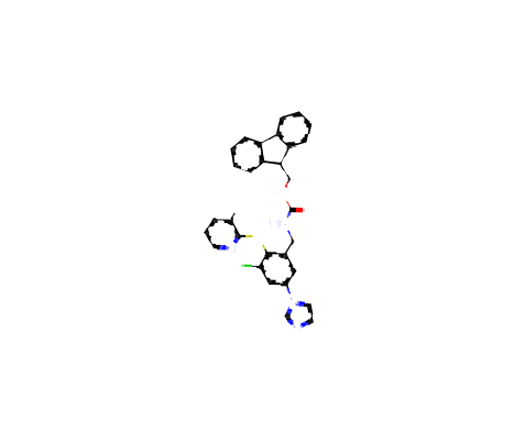 O=Cc1cccnc1Sc1c(Cl)cc(-n2ccnc2)cc1CNC(=O)OCC1c2ccccc2-c2ccccc21